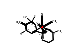 C=C1C(=O)[C@@]23CC[C@@H](CC2[C@@]24CCC[C@@](C)(COC2=O)C14)C(=C)[C@@H]3O